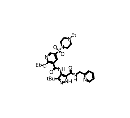 CCOc1ncc(S(=O)(=O)N2CCN(CC)CC2)cc1C(=O)Nc1c(C(C)(C)C)n[nH]c1C(=O)NCc1ccccn1